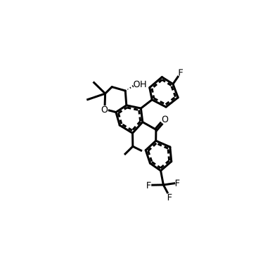 CC(C)c1cc2c(c(-c3ccc(F)cc3)c1C(=O)c1ccc(C(F)(F)F)cc1)[C@@H](O)CC(C)(C)O2